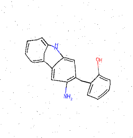 Nc1cc2c(cc1-c1ccccc1O)[nH]c1ccccc12